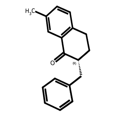 Cc1ccc2c(c1)C(=O)[C@@H](Cc1ccccc1)CC2